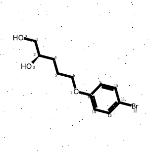 OC[C@H](O)CCCOc1ccc(Br)cc1